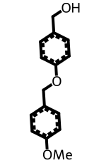 COc1ccc(COc2ccc(CO)cc2)cc1